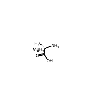 C[C@H](N)C(=O)O.[MgH2]